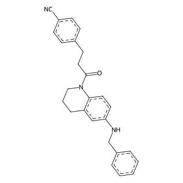 N#Cc1ccc(CCC(=O)N2CCCc3cc(NCc4ccccc4)ccc32)cc1